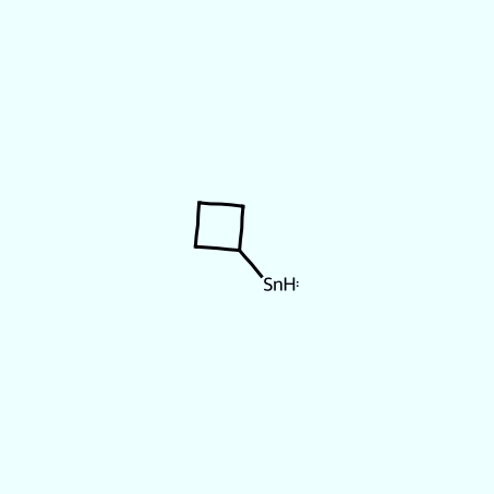 [SnH][CH]1CCC1